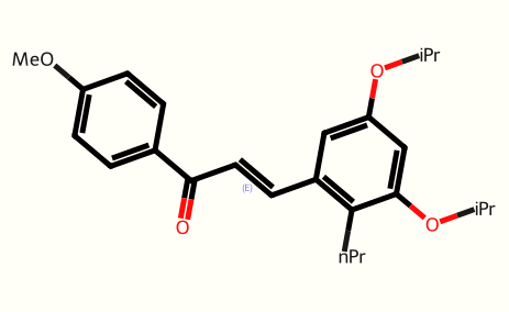 CCCc1c(/C=C/C(=O)c2ccc(OC)cc2)cc(OC(C)C)cc1OC(C)C